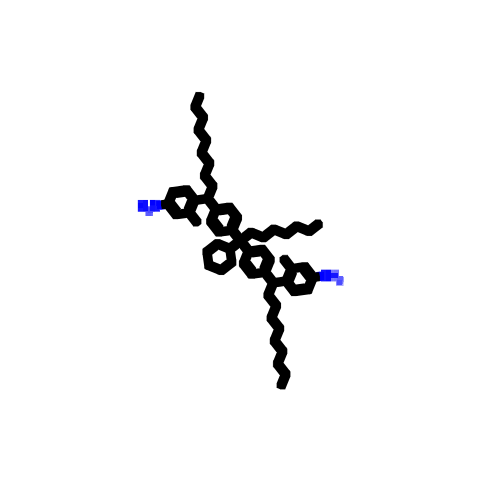 CCCCCCCCCC(c1ccc(C(CCCCCCC)(c2ccc(C(CCCCCCCCC)c3ccc(N)cc3C)cc2)C2CCCCC2)cc1)c1ccc(N)cc1C